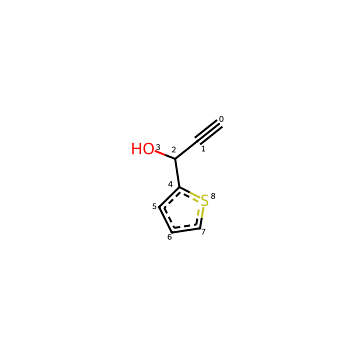 C#CC(O)c1cccs1